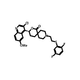 COc1ccc2ncc(Cl)c([C@@H]3CCC4(CCN(CCSc5cc(F)ccc5F)CC4)C(=O)O3)c2c1